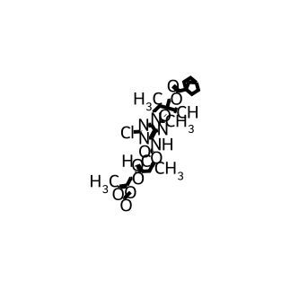 C#CC(COC(=O)C12CCC(CC1)C2)(OC)[C@@H](C)Cn1cnc2c(NC(=O)OC(C)(C)CC(=O)OCc3oc(=O)oc3C)nc(Cl)nc21